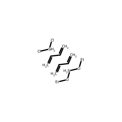 C=CC=C.C=CC=C.CCO[SiH2]OCC.Cl[SiH2]Cl